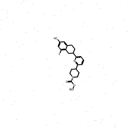 CC(C)(C)OC(=O)N1CCC(c2cccc(C3CCc4cc(C#N)cc(F)c4C3)n2)CC1